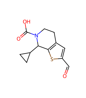 O=Cc1cc2c(s1)C(C1CC1)N(C(=O)O)CC2